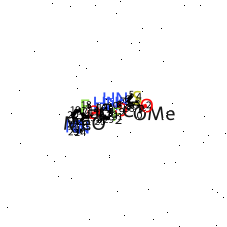 COC(=O)c1scc(NC(=O)Nc2cc(OCc3c(F)ccc4nccnc34)c(OC)cc2F)c1C(=O)O